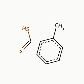 Cc1ccccc1.S=CS